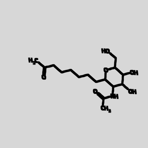 CC(=O)CCCCCCC1OC(CO)C(O)C(O)C1NC(C)=O